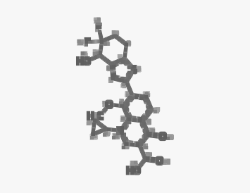 COc1c(-c2cc3c(s2)CCC(F)(F)C3O)ccc2c(=O)c(C(=O)O)cn(C3CC3)c12